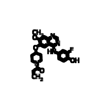 C=CC(=O)N1CCC(Oc2cc3c(Nc4ccc(O)c(F)c4)ncnc3cc2OC)CC1